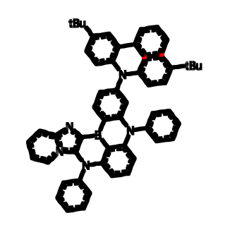 CC(C)(C)c1ccc(N(c2ccc3c(c2)N(c2ccccc2)c2cccc4c2B3c2nc3ccccn3c2N4c2ccccc2)c2ccc(C(C)(C)C)cc2-c2ccccc2)cc1